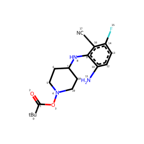 CC(C)(C)C(=O)ON1CCC(Nc2c(N)ccc(F)c2C#N)CC1